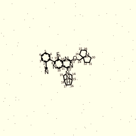 N#Cc1ccccc1-c1ncc2c(N3CC4CCC(C3)N4)nc(OCC34CCCN3CCC4)nc2c1F